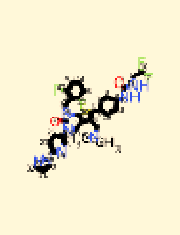 CN(C)Cc1c(-c2ccc(NC(=O)NCC(F)F)cc2)sc2c1CN(c1ccc(-n3cccn3)nc1)C(=O)N2Cc1c(F)cccc1F